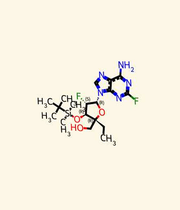 CC[C@]1(CO)O[C@@H](n2cnc3c(N)nc(F)nc32)[C@@H](F)[C@@H]1O[Si](C)(C)C(C)(C)C